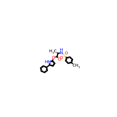 Cc1ccc(S(=O)(=O)N[C@@H](C)C(=O)Oc2ccc(-c3ccccc3)[nH]2)cc1